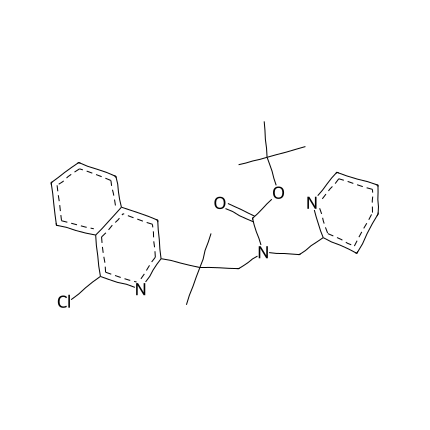 CC(C)(C)OC(=O)N(Cc1ccccn1)CC(C)(C)c1cc2ccccc2c(Cl)n1